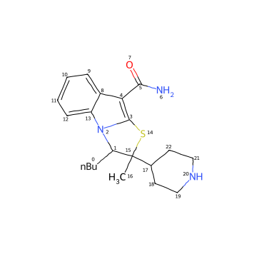 CCCCC1n2c(c(C(N)=O)c3ccccc32)SC1(C)C1CCNCC1